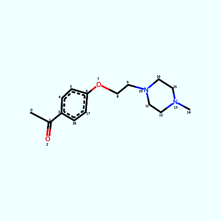 CC(=O)c1ccc(OCCN2CCN(C)CC2)cc1